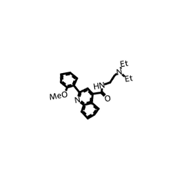 CCN(CC)CCNC(=O)c1cc(-c2ccccc2OC)nc2ccccc12